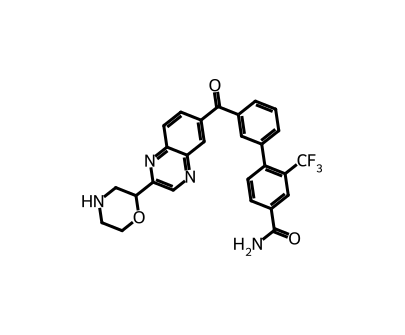 NC(=O)c1ccc(-c2cccc(C(=O)c3ccc4nc(C5CNCCO5)cnc4c3)c2)c(C(F)(F)F)c1